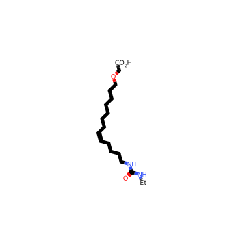 CCNC(=O)NCCCC/C=C\CCCCCCCOCC(=O)O